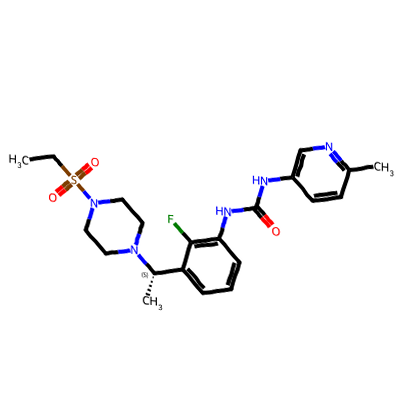 CCS(=O)(=O)N1CCN([C@@H](C)c2cccc(NC(=O)Nc3ccc(C)nc3)c2F)CC1